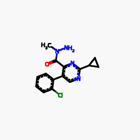 CN(N)C(=O)c1nc(C2CC2)ncc1-c1ccccc1Cl